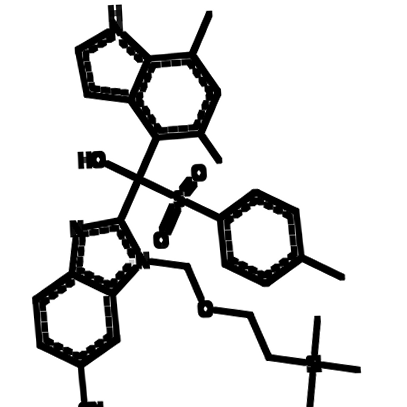 Cc1ccc(S(=O)(=O)C(O)(c2c(C)cc(C)c3[nH]ccc23)c2nc3ccc(C#N)cc3n2COCC[Si](C)(C)C)cc1